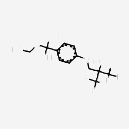 CCSC(C)(C)c1ccc(OCC(O)(C(F)(F)F)C(F)(F)F)cc1